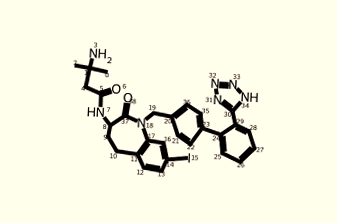 CC(C)(N)CC(=O)NC1CCc2ccc(I)cc2N(Cc2ccc(-c3ccccc3-c3nnn[nH]3)cc2)C1=O